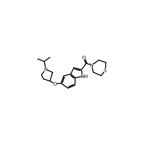 CC(C)N1CCC(Oc2ccc3[nH]c(C(=O)N4CCSCC4)cc3c2)C1